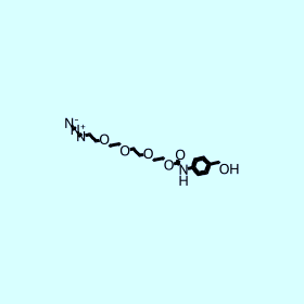 [N-]=[N+]=NCCOCCOCCOCCOC(=O)Nc1ccc(CO)cc1